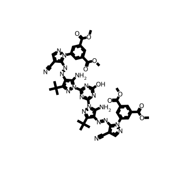 COC(=O)c1cc(C(=O)OC)cc(-n2ncc(C#N)c2N=Nc2c(C(C)(C)C)nn(-c3nc(O)nc(-n4nc(C(C)(C)C)c(N=Nc5c(C#N)cnn5-c5cc(C(=O)OC)cc(C(=O)OC)c5)c4N)n3)c2N)c1